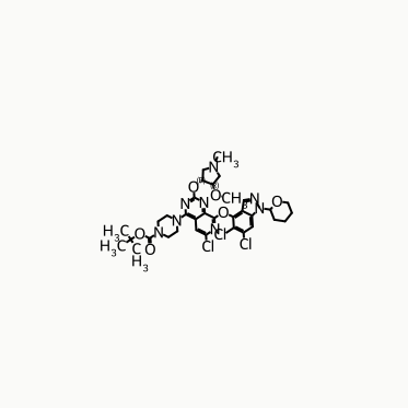 CO[C@@H]1CN(C)C[C@H]1Oc1nc(N2CCN(C(=O)OC(C)(C)C)CC2)c2cc(Cl)nc(Oc3c(Cl)c(Cl)cc4c3cnn4C3CCCCO3)c2n1